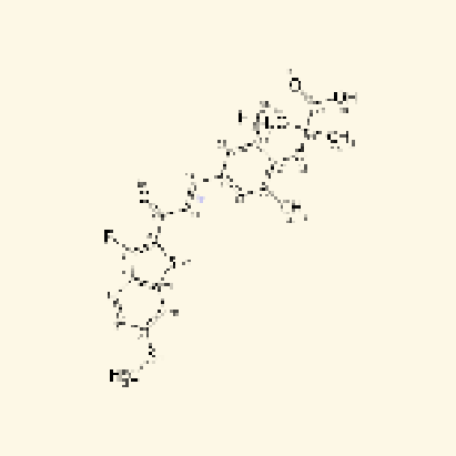 CSc1ccc2c(F)c(C(=O)/C=C/c3cc(C)c(OC(C)(C)C(=O)O)c(C)c3)sc2c1